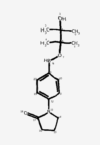 CC(C)(O)C(C)(C)OBc1ccc(N2CCCC2=O)cc1